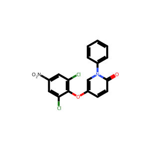 O=c1ccc(Oc2c(Cl)cc([N+](=O)[O-])cc2Cl)cn1-c1ccccc1